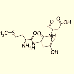 CSCC[C@H](N)C(=O)N[C@@H](CC(=O)O)C(=O)N[C@H]([C]=O)CC(=O)O